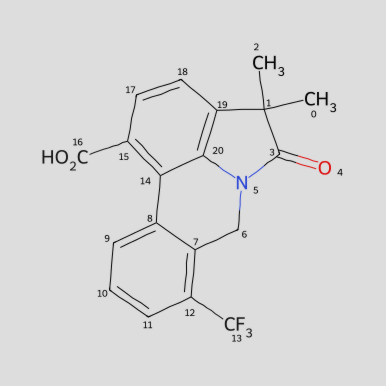 CC1(C)C(=O)N2Cc3c(cccc3C(F)(F)F)-c3c(C(=O)O)ccc1c32